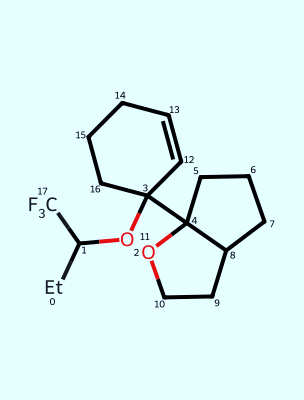 CCC(OC1(C23CCCC2CCO3)C=CCCC1)C(F)(F)F